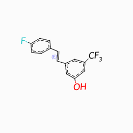 Oc1cc(/C=C/c2ccc(F)cc2)cc(C(F)(F)F)c1